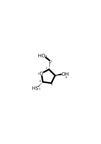 OC[C@H]1O[C@@H](S)C[C@@H]1O